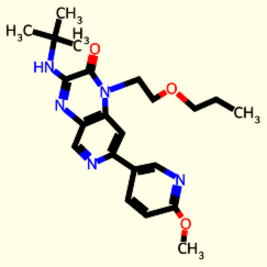 CCCOCCn1c(=O)c(NC(C)(C)C)nc2cnc(-c3ccc(OC)nc3)cc21